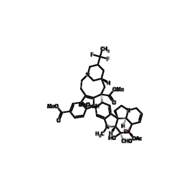 CC[C@]12C=CCN3CC[C@@]4(C5=CC([C@@]6(C(=O)OC)C[C@H]7CC(C(C)(F)F)CN(CCc8c6[nH]c6ccc(C(=O)OC)cc86)C7)C(OC)C=C5N(C)[C@H]4[C@@](O)(C=O)[C@@H]1OC(C)=O)[C@@H]32